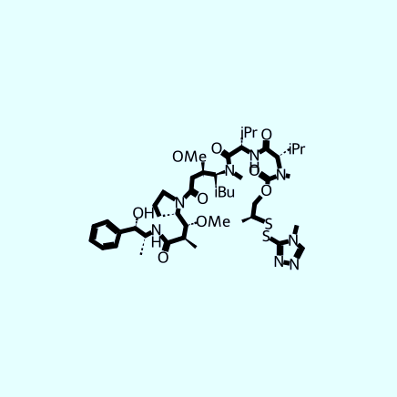 CC[C@H](C)[C@@H]([C@@H](CC(=O)N1CCC[C@H]1[C@H](OC)[C@@H](C)C(=O)N[C@H](C)[C@@H](O)c1ccccc1)OC)N(C)C(=O)[C@@H](NC(=O)[C@H](C(C)C)N(C)C(=O)OC[C@H](C)SSc1nncn1C)C(C)C